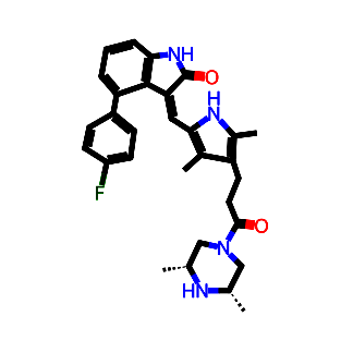 Cc1[nH]c(C=C2C(=O)Nc3cccc(-c4ccc(F)cc4)c32)c(C)c1CCC(=O)N1C[C@@H](C)N[C@@H](C)C1